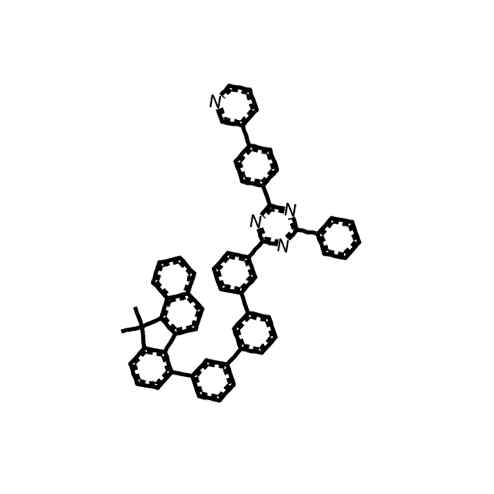 CC1(C)c2cccc(-c3cccc(-c4cccc(-c5cccc(-c6nc(-c7ccccc7)nc(-c7ccc(-c8cccnc8)cc7)n6)c5)c4)c3)c2-c2ccc3ccccc3c21